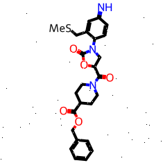 CSCC1=CC(=N)C=CC1N1CC(C(=O)N2CCC(C(=O)OCc3ccccc3)CC2)OC1=O